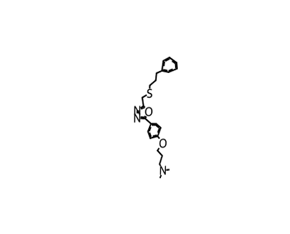 CN(C)CCCOc1ccc(-c2nnc(CSCCCc3ccccc3)o2)cc1